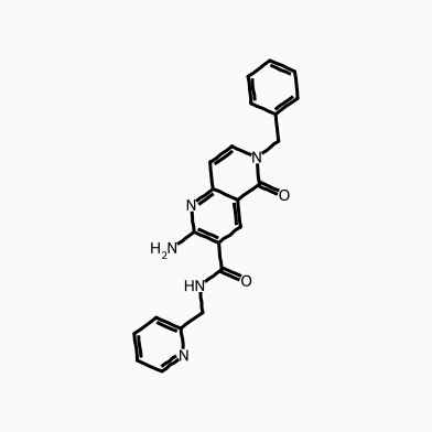 Nc1nc2ccn(Cc3ccccc3)c(=O)c2cc1C(=O)NCc1ccccn1